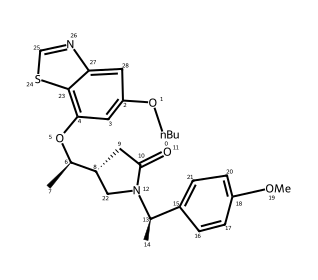 CCCCOc1cc(O[C@H](C)[C@@H]2CC(=O)N([C@H](C)c3ccc(OC)cc3)C2)c2scnc2c1